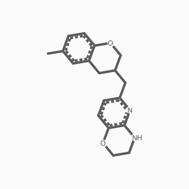 Cc1ccc2c(c1)CC(Cc1ccc3c(n1)NCCO3)CO2